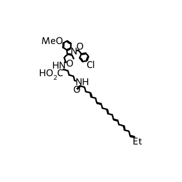 CCC=CCC=CCC=CCC=CCC=CCC=CCCC(=O)NCCCCC(NC(=O)Cc1c(C)n(C(=O)c2ccc(Cl)cc2)c2ccc(OC)cc12)C(=O)O